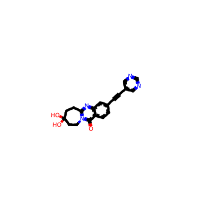 O=c1c2ccc(C#Cc3cncnc3)cc2nc2n1CCC(O)(O)CC2